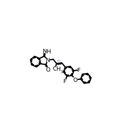 C/C(=C\c1cc(F)c(Oc2ccccc2)c(F)c1)CN1C(=N)c2ccccc2C1=O